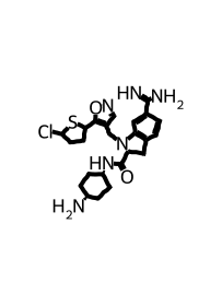 N=C(N)c1ccc2c(c1)N(Cc1cnoc1C1CCC(Cl)S1)C(C(=O)N[C@H]1CC[C@H](N)CC1)C2